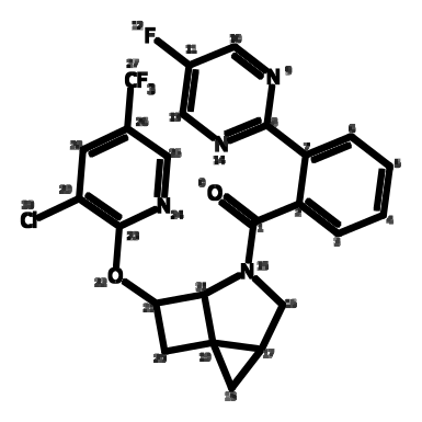 O=C(c1ccccc1-c1ncc(F)cn1)N1CC2CC23CC(Oc2ncc(C(F)(F)F)cc2Cl)C13